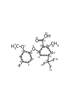 COc1cc(F)ccc1Oc1cc(C(F)(F)F)nc(C)c1C(=O)O